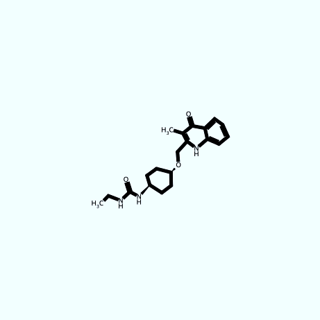 CCNC(=O)N[C@H]1CC[C@H](OCc2[nH]c3ccccc3c(=O)c2C)CC1